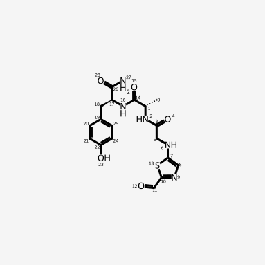 C[C@H](NC(=O)CNc1cnc(C=O)s1)C(=O)N[C@@H](Cc1ccc(O)cc1)C(N)=O